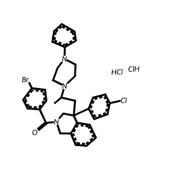 CC(CC1(c2ccc(Cl)cc2)CN(C(=O)c2ccc(Br)cc2)Cc2ccccc21)N1CCN(c2ccccc2)CC1.Cl.Cl